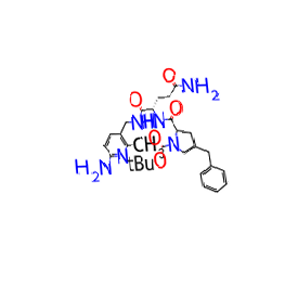 Cc1nc(N)ccc1CNC(=O)[C@H](CCC(N)=O)NC(=O)C1CC(Cc2ccccc2)CN1C(=O)OC(C)(C)C